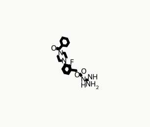 N=C(N)NC(=O)OCc1cccc(N2CCN(C(=O)C3CCCCC3)CC2)c1F